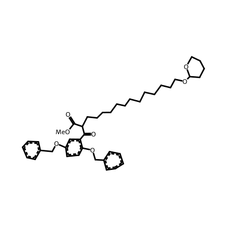 COC(=O)C(CCCCCCCCCCCCCOC1CCCCO1)C(=O)c1cc(OCc2ccccc2)ccc1OCc1ccccc1